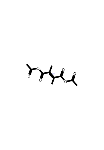 CC(=O)OC(=O)/C(C)=C(\C)C(=O)OC(C)=O